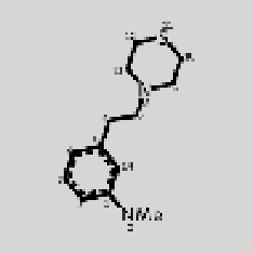 CNc1cccc(CCN2CCSCC2)c1